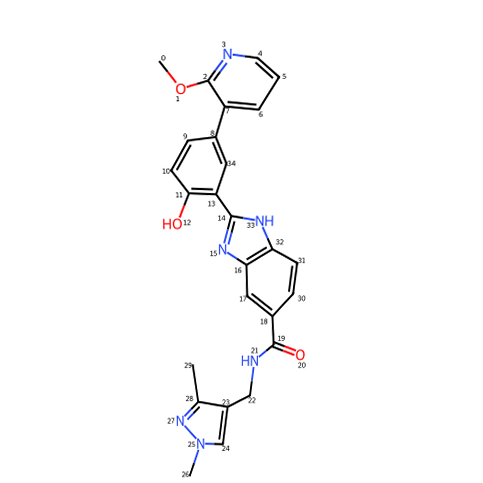 COc1ncccc1-c1ccc(O)c(-c2nc3cc(C(=O)NCc4cn(C)nc4C)ccc3[nH]2)c1